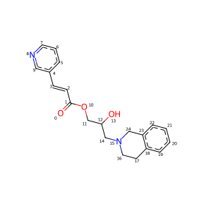 O=C(C=Cc1cccnc1)OCC(O)CN1CCc2ccccc2C1